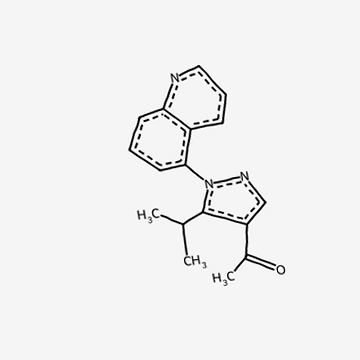 CC(=O)c1cnn(-c2cccc3ncccc23)c1C(C)C